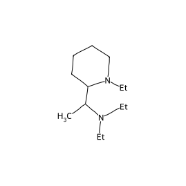 CCN(CC)C(C)C1CCCCN1CC